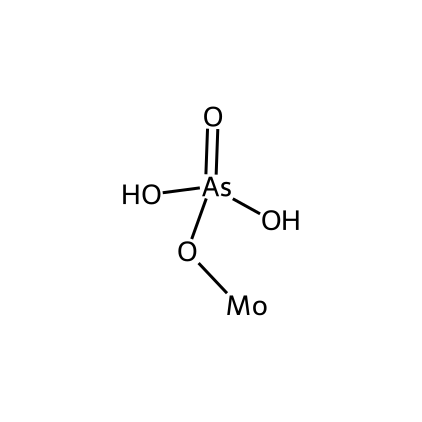 O=[As](O)(O)[O][Mo]